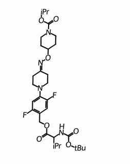 CC(C)OC(=O)N1CCC(ON=C2CCN(c3cc(F)c(COC(=O)C(NC(=O)OC(C)(C)C)C(C)C)cc3F)CC2)CC1